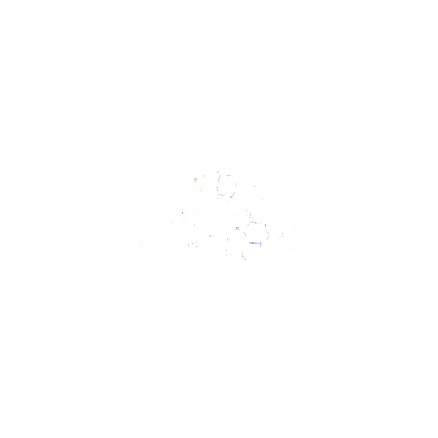 CO[C@H]1COCC[C@H]1NC1CCN(C(=O)c2nc(C3CC3)nc(N3CCc4ccc(C(F)(F)F)cc4C3)c2C)CC1